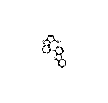 BrC1C=Cc2oc3cccc(-c4cccc5c4sc4ccccc45)c3c21